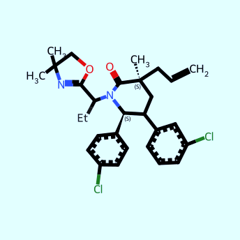 C=CC[C@@]1(C)CC(c2cccc(Cl)c2)[C@@H](c2ccc(Cl)cc2)N(C(CC)C2=NC(C)(C)CO2)C1=O